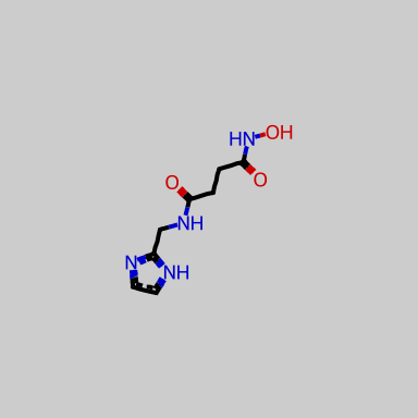 O=C(CCC(=O)NCc1ncc[nH]1)NO